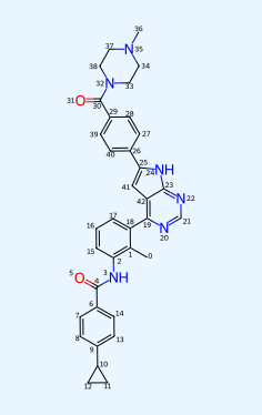 Cc1c(NC(=O)c2ccc(C3CC3)cc2)cccc1-c1ncnc2[nH]c(-c3ccc(C(=O)N4CCN(C)CC4)cc3)cc12